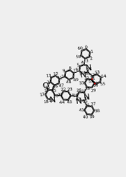 c1ccc(-c2cc(-c3ccc(-c4ccc5oc6ccnc(-c7ccc(-c8cc(-c9ccccc9)nc(-c9ccccc9)n8)cc7)c6c5c4)cc3)nc(-c3ccccc3)n2)cc1